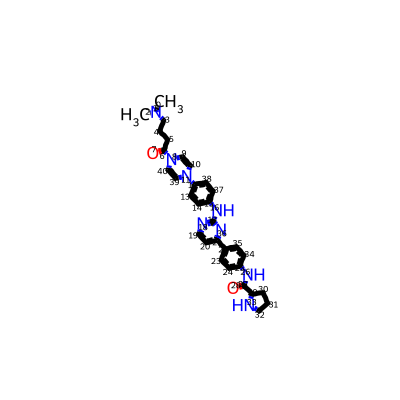 CN(C)CCCC(=O)N1C=CN(c2ccc(Nc3nccc(-c4ccc(NC(=O)C5CCCN5)cc4)n3)cc2)C=C1